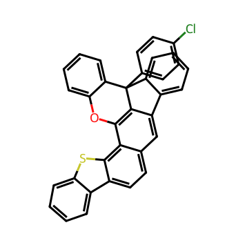 Clc1ccc(C23c4ccccc4Oc4c2c(cc2ccc5c6ccccc6sc5c42)-c2ccccc23)cc1